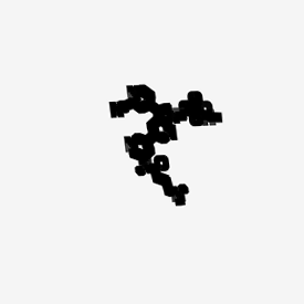 CCOP(=O)(O)OCn1cc(-c2ccnc(C#N)c2)c2cc(-c3cncc(N(C)C(=O)C=CCN(C)C)c3)cnc21